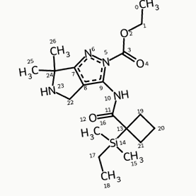 CCOC(=O)n1nc2c(c1NC(=O)C1([Si](C)(C)CC)CCC1)CNC2(C)C